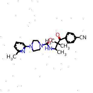 Cc1cccc(N2CCN(C(=O)NC(C)C(C)(C)C(=O)c3ccc(C#N)cc3)CC2)n1